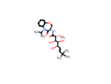 CO[C@@H](C(=O)N[C@H]1COc2ccccc2N(C(C)C)C1=O)[C@H](O)[C@@H](O)[C@H](O)/C=C/C(C)(C)C